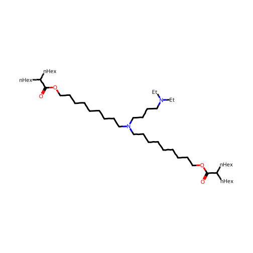 CCCCCCC(CCCCCC)C(=O)OCCCCCCCCCN(CCCCCCCCCOC(=O)C(CCCCCC)CCCCCC)CCCCN(CC)CC